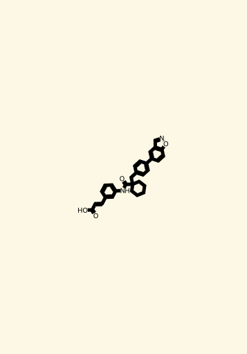 O=C(O)/C=C/c1cccc(NC(=O)C2(Cc3ccc(-c4ccc5oncc5c4)cc3)CCCCC2)c1